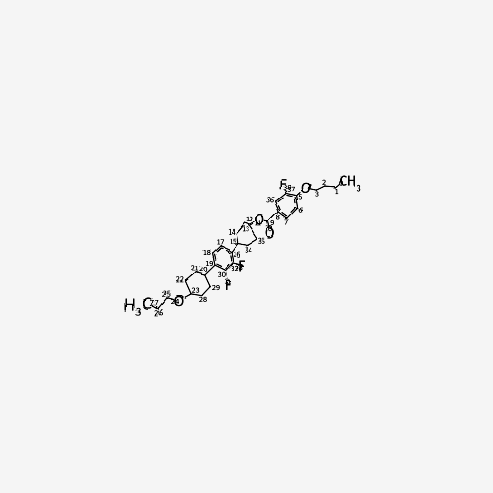 CCCCOc1ccc(C(=O)OC2CCC(c3ccc(C4CCC(OCCC)CC4)c(F)c3F)CC2)cc1F